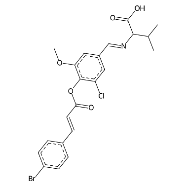 COc1cc(/C=N/C(C(=O)O)C(C)C)cc(Cl)c1OC(=O)/C=C/c1ccc(Br)cc1